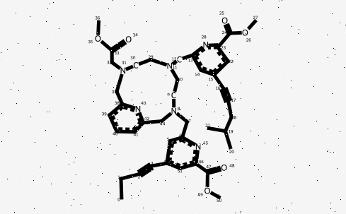 CCC#Cc1cc(CN2CCN(Cc3cc(C#CCC(C)C)cc(C(=O)OC)n3)CCN(CC(=O)OC)Cc3cccc(n3)C2)nc(C(=O)OC)c1